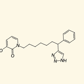 O=c1c(O)cccn1CCCCCCC(c1ccccc1)c1c[nH]nn1